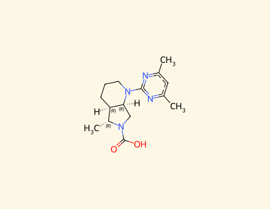 Cc1cc(C)nc(N2CCC[C@@H]3[C@@H](C)N(C(=O)O)C[C@@H]32)n1